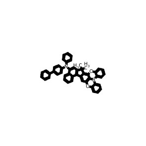 CC1(C)c2cc(N(c3ccccc3)c3ccc(-c4ccccc4)cc3)c3ccccc3c2-c2cc3c4c(c21)Oc1ccccc1B4c1ccccc1O3